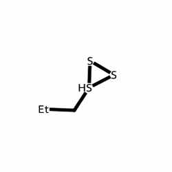 CCC[SH]1SS1